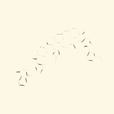 CCc1cccc(-c2cnc(C(=O)N3CCN(CC4CCN(CC(=O)N5CCN(C(=O)c6cc(Cc7n[nH]c(=O)c8ccccc78)ccc6F)CC5)CC4)CC3)c(NC(=O)CNCc3cn(C)cn3)c2)c1